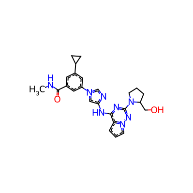 CNC(=O)c1cc(C2CC2)cc(-n2cnc(Nc3nc(N4CCCC4CO)nn4cccc34)c2)c1